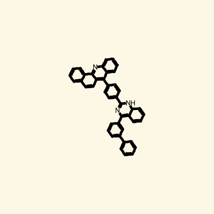 C1=CC2=C(c3cccc(-c4ccccc4)c3)N=C(c3ccc(-c4c5ccccc5nc5c4ccc4ccccc45)cc3)NC2C=C1